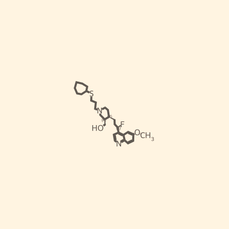 COc1ccc2nccc([C@H](F)CC[C@@H]3CCN(CCCSC4CCCCCC4)C[C@@H]3CO)c2c1